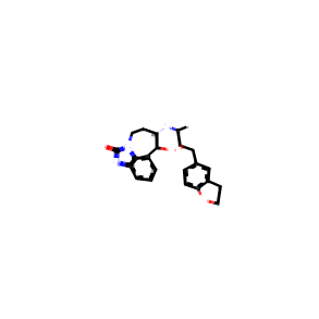 CC(CCc1ccc2c(c1)CCO2)N[C@@H]1CCn2c(=O)[nH]c3cccc(c32)C1O